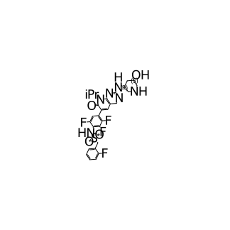 CC(C)n1c(=O)c(-c2cc(F)c(NS(=O)(=O)Cc3ccccc3F)c(F)c2F)cc2cnc(N[C@H]3CNC[C@@H](O)C3)nc21